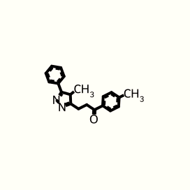 Cc1ccc(C(=O)CCC2=NN=C(c3ccccc3)C2C)cc1